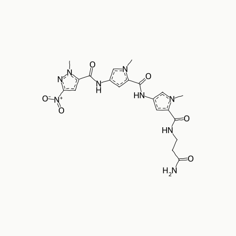 Cn1cc(NC(=O)c2cc(NC(=O)c3cc([N+](=O)[O-])nn3C)cn2C)cc1C(=O)NCCC(N)=O